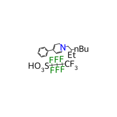 CCCCC(CC)CN1C=CC(c2ccccc2)=CC1.O=S(=O)(O)C(F)(F)C(F)(F)C(F)(F)C(F)(F)F